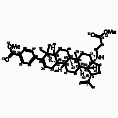 C=C(C)[C@@H]1CC[C@]2(NCCC(=O)OC)CC[C@]3(C)[C@H](CC[C@@H]4[C@@]5(C)CC=C(c6ccc(C(=O)OC)cc6)C(C)(C)[C@@H]5CC[C@]43C)[C@@H]12